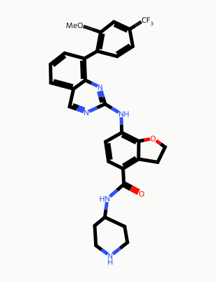 COc1cc(C(F)(F)F)ccc1-c1cccc2cnc(Nc3ccc(C(=O)NC4CCNCC4)c4c3OCC4)nc12